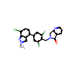 Cn1cc2c(-c3cc(F)c(CN4Cc5ncccc5C4=O)c(F)c3)ccc(Cl)c2n1